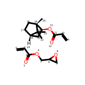 C=CC(=O)OCC1CO1.C=CC(=O)O[C@H]1C[C@@H]2CC[C@@]1(C)C2(C)C